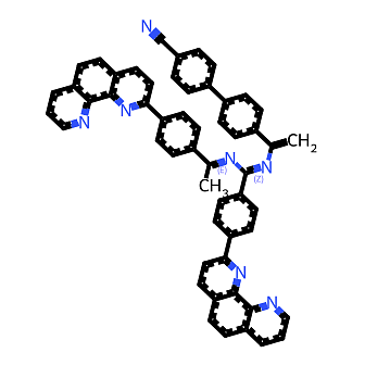 C=C(/N=C(\N=C(/C)c1ccc(-c2ccc3ccc4cccnc4c3n2)cc1)c1ccc(-c2ccc3ccc4cccnc4c3n2)cc1)c1ccc(-c2ccc(C#N)cc2)cc1